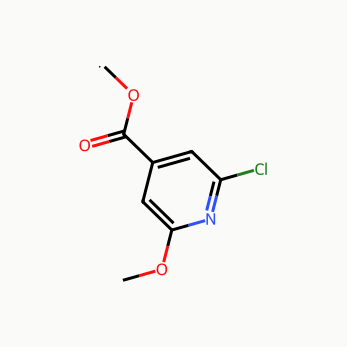 [CH2]OC(=O)c1cc(Cl)nc(OC)c1